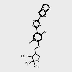 CC1(C)OCC(COc2cc(Cl)c(-c3nnc(-c4cn5ccsc5n4)s3)cc2F)N1C(=O)O